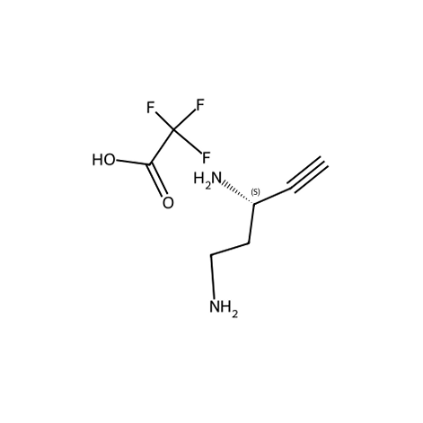 C#C[C@@H](N)CCN.O=C(O)C(F)(F)F